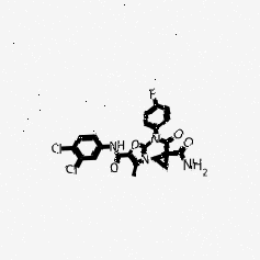 Cc1nc(N(C(=O)C2(C(N)=O)CC2)c2ccc(F)cc2)oc1C(=O)Nc1ccc(Cl)c(Cl)c1